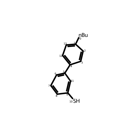 CCCCc1ccc(-c2cccc(S)c2)cc1